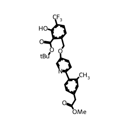 COC(=O)Cc1ccc(-c2ccc(OCc3ccc(C(F)(F)F)c(O)c3C(=O)OC(C)(C)C)cn2)c(C)c1